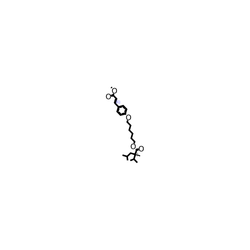 COC(=O)/C=C/c1ccc(OCCCCCCOC(=O)[C@@](C)(CC(C)C)C(C)C)cc1